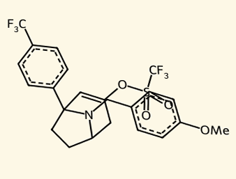 COc1ccc(CN2C3CCC2(c2ccc(C(F)(F)F)cc2)C=C(OS(=O)(=O)C(F)(F)F)C3)cc1